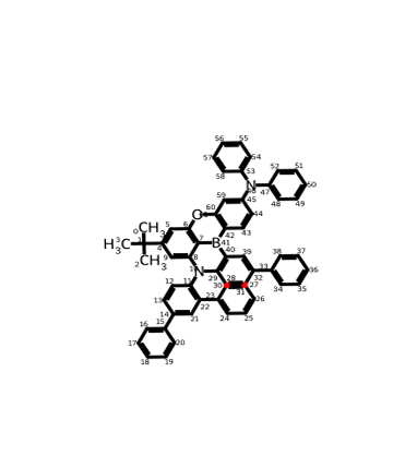 CC(C)(C)c1cc2c3c(c1)N(c1ccc(-c4ccccc4)cc1-c1ccccc1)c1ccc(-c4ccccc4)cc1B3c1ccc(N(c3ccccc3)c3ccccc3)cc1O2